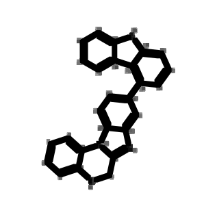 c1ccc2c(c1)OCc1nc3cc(-c4cccc5sc6ccccc6c45)ccc3n1-2